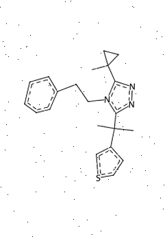 CC1(c2nnc(C(C)(C)c3ccsc3)n2CCc2ccccc2)CC1